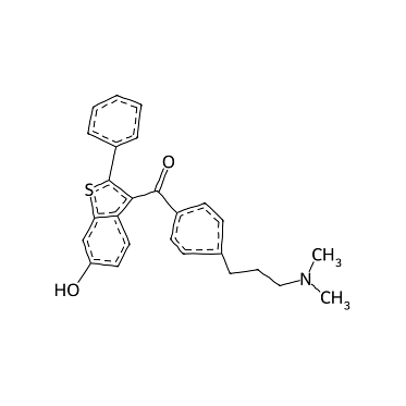 CN(C)CCCc1ccc(C(=O)c2c(-c3ccccc3)sc3cc(O)ccc23)cc1